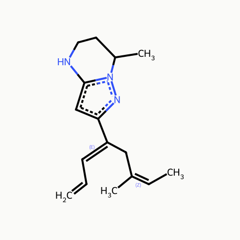 C=C/C=C(\C/C(C)=C\C)c1cc2n(n1)C(C)CCN2